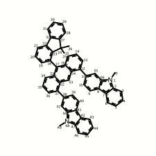 Cn1c2ccccc2c2ccc(-c3cccc4c(-c5cccc6c5C(C)(C)c5ccccc5-6)c5cccc(-c6ccc7c8ccccc8n(C)c7c6)c5cc34)cc21